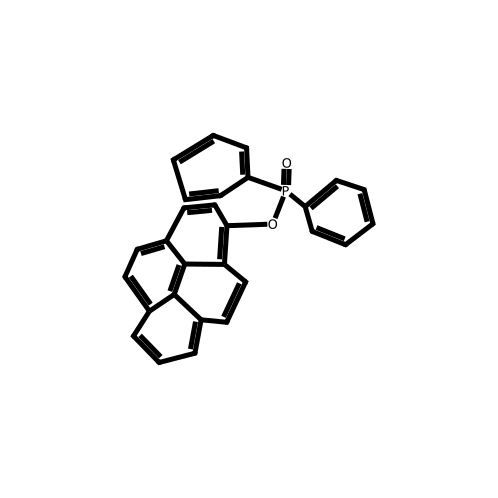 O=P(Oc1ccc2ccc3cccc4ccc1c2c34)(c1ccccc1)c1ccccc1